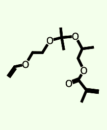 C=COCCOC(C)(C)OC(C)COC(=O)C(=C)C